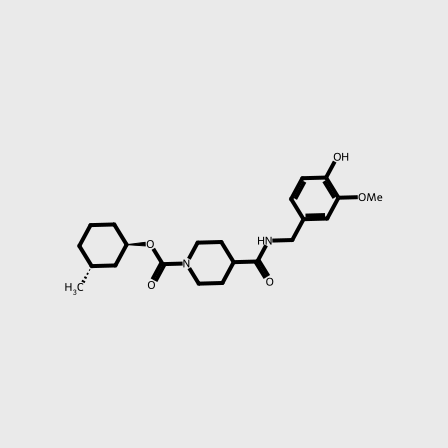 COc1cc(CNC(=O)C2CCN(C(=O)O[C@@H]3CCC[C@@H](C)C3)CC2)ccc1O